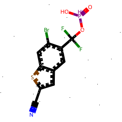 N#Cc1cc2cc(C(F)(F)O[PH](=O)O)c(Br)cc2s1